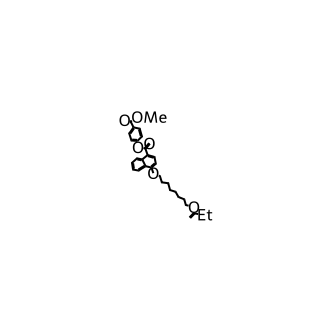 C=C(CC)OCCCCCCCCOc1ccc(C(=O)Oc2ccc(C(=O)OC)cc2)c2ccccc12